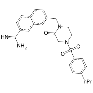 CCCc1ccc(S(=O)(=O)N2CCN(Cc3ccc4ccc(C(=N)N)cc4c3)C(=O)C2)cc1